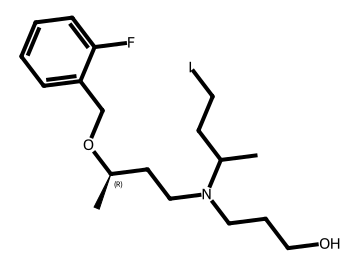 CC(CCI)N(CCCO)CC[C@@H](C)OCc1ccccc1F